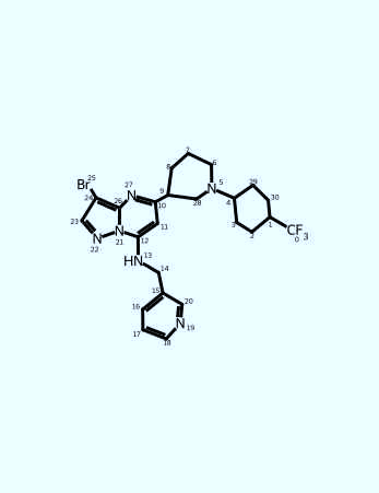 FC(F)(F)C1CCC(N2CCCC(c3cc(NCc4cccnc4)n4ncc(Br)c4n3)C2)CC1